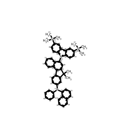 CC1(C)c2cc(N(c3ccccc3)c3cccc4ccccc34)ccc2-c2c1cc(-n1c3ccc([Si](C)(C)C)cc3c3cc([Si](C)(C)C)ccc31)c1ccccc21